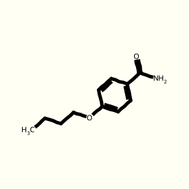 CCCCOc1c[c]c(C(N)=O)cc1